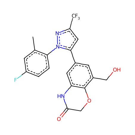 Cc1cc(F)ccc1-n1nc(C(F)(F)F)cc1-c1cc(CO)c2c(c1)NC(=O)CO2